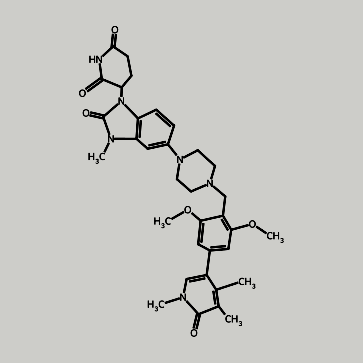 COc1cc(-c2cn(C)c(=O)c(C)c2C)cc(OC)c1CN1CCN(c2ccc3c(c2)n(C)c(=O)n3C2CCC(=O)NC2=O)CC1